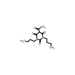 CCCCN1C(=O)C(C(C)=O)C(=O)N(CCCC)C1=O